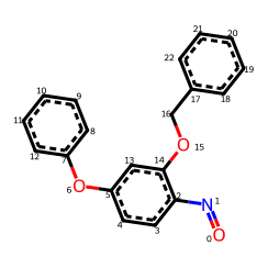 O=Nc1ccc(Oc2ccccc2)cc1OCc1ccccc1